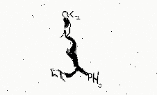 C=N/C=C(/P)CC